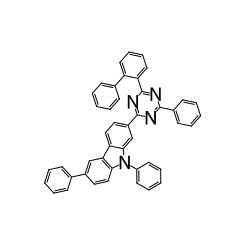 c1ccc(-c2ccc3c(c2)c2ccc(-c4nc(-c5ccccc5)nc(-c5ccccc5-c5ccccc5)n4)cc2n3-c2ccccc2)cc1